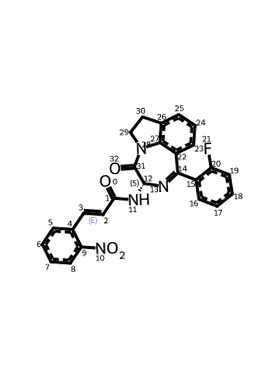 O=C(/C=C/c1ccccc1[N+](=O)[O-])N[C@H]1N=C(c2ccccc2F)c2cccc3c2N(CC3)C1=O